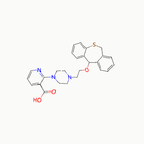 O=C(O)c1cccnc1N1CCN(CCOC2c3ccccc3CSc3ccccc32)CC1